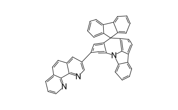 c1ccc2c(c1)-c1ccccc1C21c2ccc(-c3cnc4c(ccc5cccnc54)c3)cc2-n2c3ccccc3c3cccc1c32